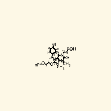 CCCOCCOC1N(C)c2c(c(=O)n(CCCO)c(=O)n2C)N1Cc1ccc(Cl)cc1